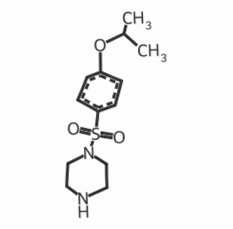 CC(C)Oc1ccc(S(=O)(=O)N2CCNCC2)cc1